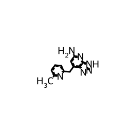 Cc1cccc(Cc2cc(N)nc3[nH]nnc23)n1